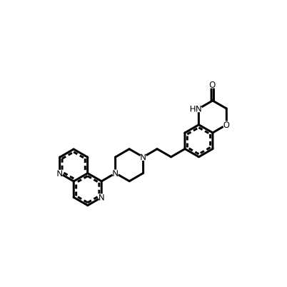 O=C1COc2ccc(CCN3CCN(c4nccc5ncccc45)CC3)cc2N1